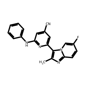 Cc1nc2ccc(F)cn2c1-c1cc(C#N)cc(Nc2ccccc2)n1